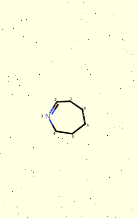 [CH]1CC=NCCC1